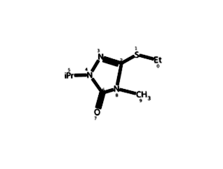 CCSc1nn(C(C)C)c(=O)n1C